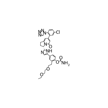 CCOCCOCCc1cc(-c2cnc([C@@H]3CCc4cc(-c5cc(Cl)ccc5-n5cnnn5)cc(=O)n43)[nH]2)ccc1OC(N)=O